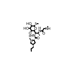 CCC[C@@H]1C[C@@H](C(=O)N[C@@H](C2OC(SC)C(O)C(O)C2O)[C@H](C)NC(=O)CNC)N(C)C1